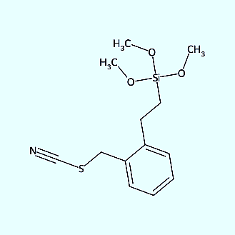 CO[Si](CCc1ccccc1CSC#N)(OC)OC